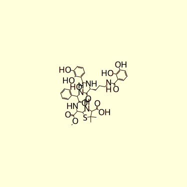 COC(=O)C(NC(=O)C(NC(=O)[C@H](CCCNC(=O)c1cccc(O)c1O)NC(O)c1cccc(O)c1O)c1ccccc1)C1NC(C(=O)O)C(C)(C)S1